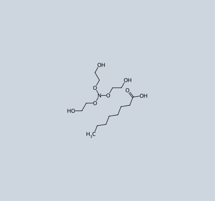 CCCCCCCC(=O)O.OCCON(OCCO)OCCO